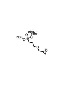 CCCCO[Si](CCCOCC1CO1)(OCCCC)OCCCC